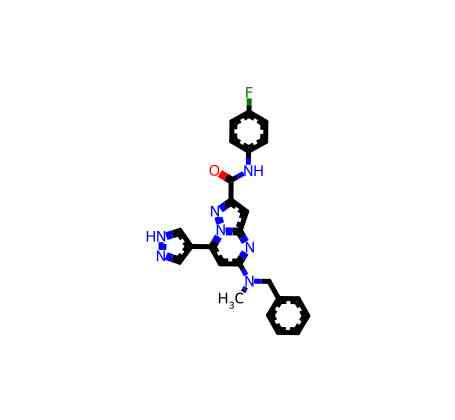 CN(Cc1ccccc1)c1cc(-c2cn[nH]c2)n2nc(C(=O)Nc3ccc(F)cc3)cc2n1